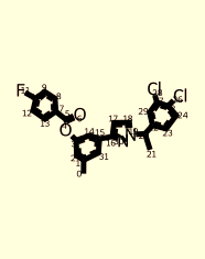 Cc1cc(OC(=O)c2ccc(F)cc2)cc(-c2ccn(C(C)c3ccc(Cl)c(Cl)c3)n2)c1